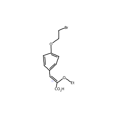 CCO/C(=C\c1ccc(OCCBr)cc1)C(=O)O